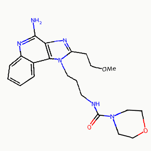 COCCc1nc2c(N)nc3ccccc3c2n1CCCNC(=O)N1CCOCC1